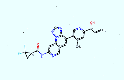 C=C[C@@H](O)c1cc(C)c(-c2cc3cnc(NC(=O)[C@H]4CC4(F)F)cc3n3ncnc23)cn1